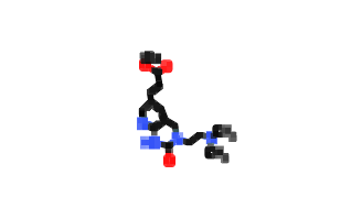 CN(C)CCN1Cc2cc(C=CC(=O)OC(C)(C)C)cnc2NC1=O